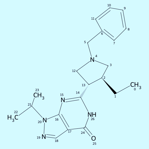 CC[C@@H]1CN(Cc2ccccc2)C[C@H]1c1nc2c(cnn2C(C)C)c(=O)[nH]1